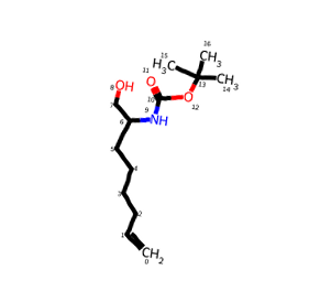 C=CCCCCC(CO)NC(=O)OC(C)(C)C